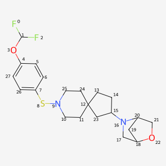 FC(F)Oc1ccc(SN2CCC3(CCC(N4CC5CC4CO5)C3)CC2)cc1